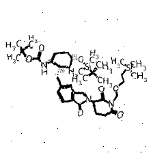 CC(C)(C)OC(=O)N[C@H]1CC[C@H](O[Si](C)(C)C(C)(C)C)C[C@@H]1Cc1ccc2c(c1)CN(C1CCC(=O)N(COCC[Si](C)(C)C)C1=O)C2=O